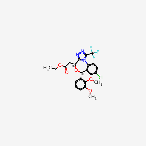 CCOC(=O)C[C@@H]1O[C@@H](c2cccc(OC)c2OC)c2cc(Cl)ccc2-n2c1nnc2C(F)(F)F